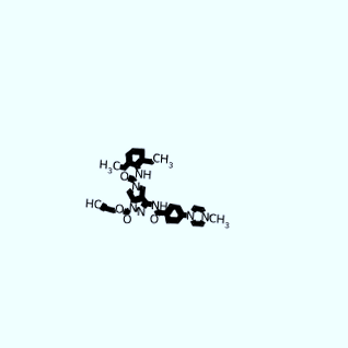 C#CCOC(=O)n1nc(NC(=O)c2ccc(N3CCN(C)CC3)cc2)c2c1CN(C(=O)Nc1c(CC)cccc1CC)C2